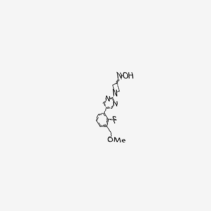 COCc1cccc(-c2cnc(N3CC(=NO)C3)nc2)c1F